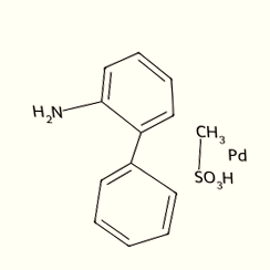 CS(=O)(=O)O.Nc1ccccc1-c1ccccc1.[Pd]